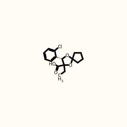 CCC1(C(=O)O)OC2(CCCC2)O[C@H]1c1ccccc1Cl